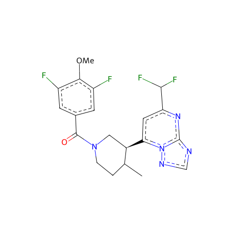 COc1c(F)cc(C(=O)N2CCC(C)[C@H](c3cc(C(F)F)nc4ncnn34)C2)cc1F